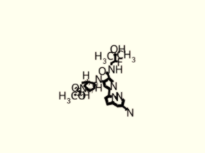 CC(C)(O)C(F)CNC(=O)c1cnc(-c2ccc3cc(C#N)cnn23)cc1N[C@H]1C[C@@H]2C[C@H]1CN2S(C)(=O)=O